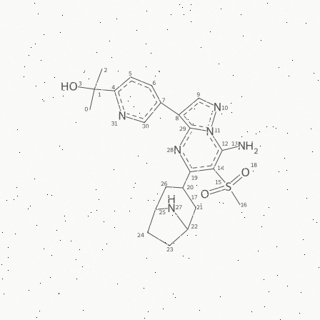 CC(C)(O)c1ccc(-c2cnn3c(N)c(S(C)(=O)=O)c(C4CC5CCC(C4)N5)nc23)cn1